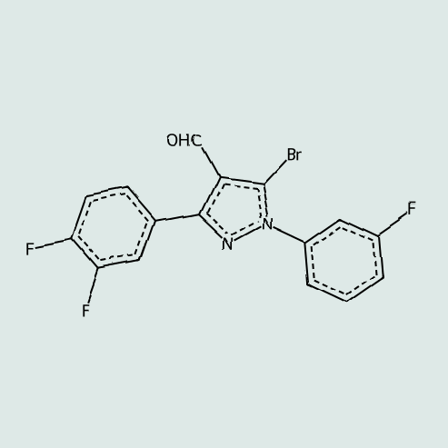 O=Cc1c(-c2ccc(F)c(F)c2)nn(-c2cccc(F)c2)c1Br